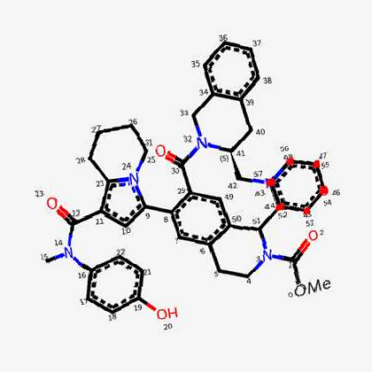 COC(=O)N1CCc2cc(-c3cc(C(=O)N(C)c4ccc(O)cc4)c4n3CCCC4)c(C(=O)N3Cc4ccccc4C[C@H]3CN3CCOCC3)cc2C1c1ccccc1